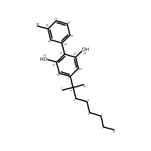 CCCCCCC(C)(C)c1cc(O)c(-c2cccc(C)c2)c(O)c1